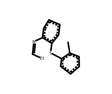 CC/C=N\c1ccccc1Sc1ccccc1C